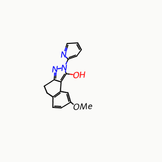 COc1ccc2c(c1)-c1c(nn(-c3ccccn3)c1O)CC2